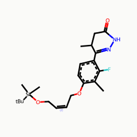 Cc1c(OC/C=C\CO[Si](C)(C)C(C)(C)C)ccc(C2=NNC(=O)CC2C)c1F